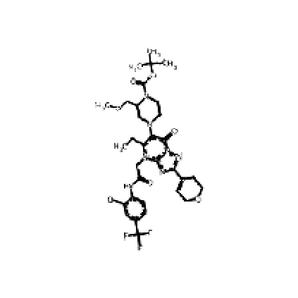 CCc1c(N2CCN(C(=O)OC(C)(C)C)C(COC)C2)c(=O)n2nc(C3=CCOCC3)nc2n1CC(=O)Nc1ccc(C(F)(F)F)cc1Cl